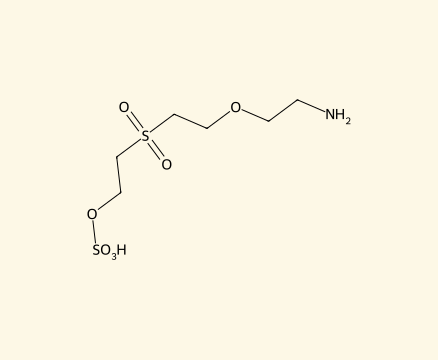 NCCOCCS(=O)(=O)CCOS(=O)(=O)O